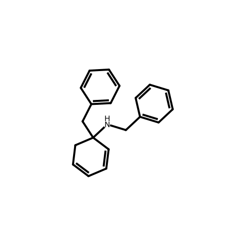 C1=CCC(Cc2ccccc2)(NCc2ccccc2)C=C1